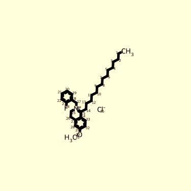 CCCCCCCCCCCCCCCC1=[N+](Cc2ccccc2F)CCc2cc(OC)ccc21.[Cl-]